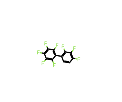 Fc1ccc(-c2c(F)c(F)c(F)c(F)c2F)c(F)c1F